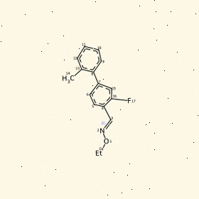 CCO/N=C/c1ccc(-c2ccccc2C)cc1F